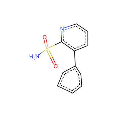 NS(=O)(=O)c1ncccc1-c1ccccc1